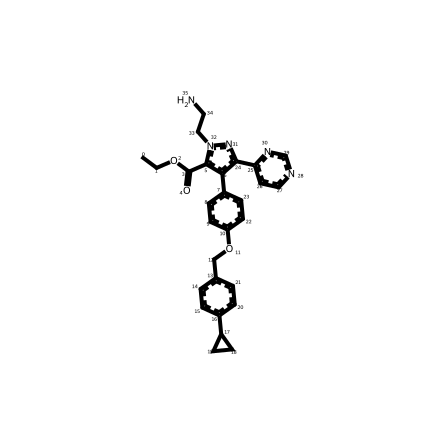 CCOC(=O)c1c(-c2ccc(OCc3ccc(C4CC4)cc3)cc2)c(-c2ccncn2)nn1CCN